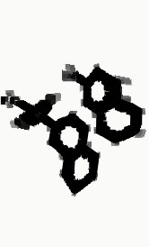 O=S(=O)(c1[c]c2ccccc2cc1)C(F)(F)F.Oc1[c]c2ccccc2cc1